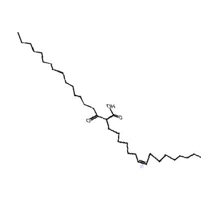 CCCCCCCC/C=C\CCCCCCC(C(=O)O)C(=O)CCCCCCCCCCCCCCC